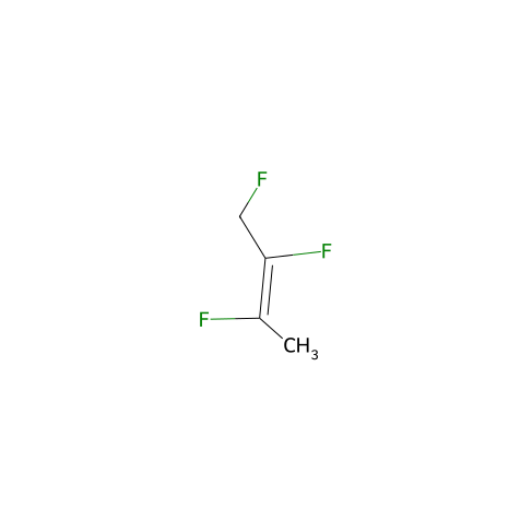 CC(F)=C(F)CF